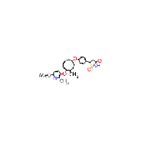 C=C1CC[C@@H](Oc2ccc(C3CC(=O)N[S+]3[O-])cc2)C/C=C\C=C/1Oc1ccc(OC)nc1C